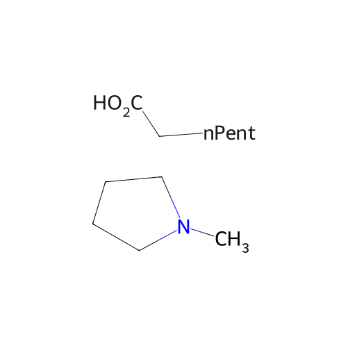 CCCCCCC(=O)O.CN1CCCC1